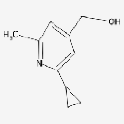 Cc1cc(CO)cc(C2CC2)n1